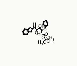 CC(C)(C)OC(=O)N[C@@H](Cc1ccccc1)C(O)C(=O)NC1Cc2ccccc2C1